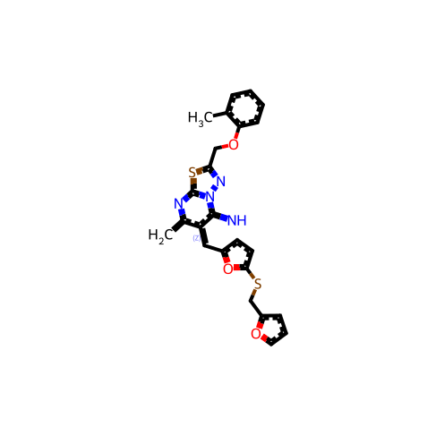 C=c1nc2sc(COc3ccccc3C)nn2c(=N)/c1=C\c1ccc(SCc2ccco2)o1